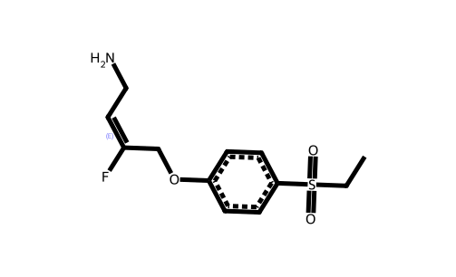 CCS(=O)(=O)c1ccc(OC/C(F)=C\CN)cc1